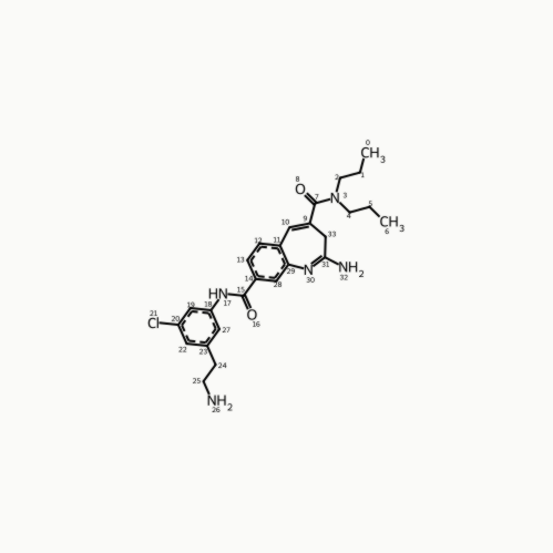 CCCN(CCC)C(=O)C1=Cc2ccc(C(=O)Nc3cc(Cl)cc(CCN)c3)cc2N=C(N)C1